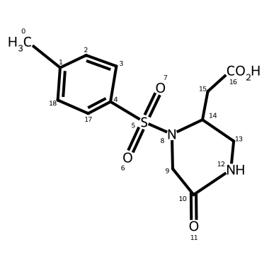 Cc1ccc(S(=O)(=O)N2CC(=O)NCC2CC(=O)O)cc1